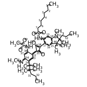 CCCCCCCCS(=O)(=O)Nc1cc2c(cc1C1=C(O)/C(=C3C=C(C(C)(C)C(C)(C)CCC)/C(=N/C)C=C/3NS(C)(=O)=O)C1=O)C(C)(C)C(C)(CCC)N2C